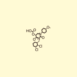 COc1ccc(-n2cc(OC(=O)O)c(=O)n(Cc3cccc(Cl)c3Cl)c2=O)cc1